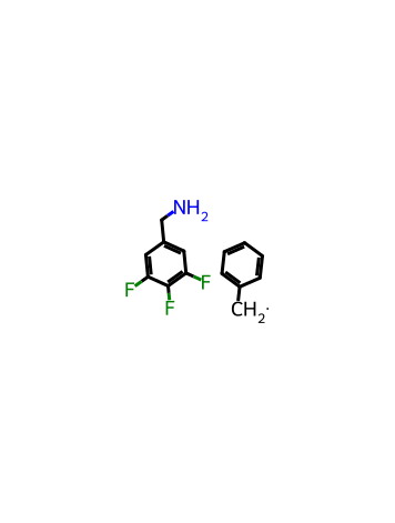 NCc1cc(F)c(F)c(F)c1.[CH2]c1ccccc1